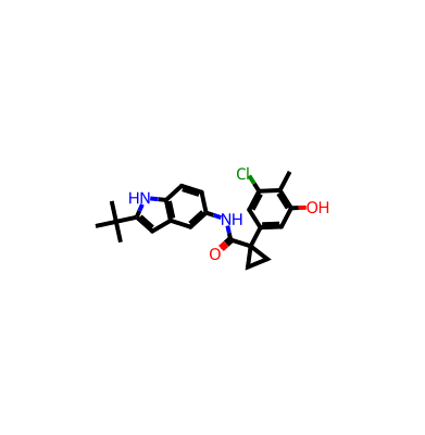 Cc1c(O)cc(C2(C(=O)Nc3ccc4[nH]c(C(C)(C)C)cc4c3)CC2)cc1Cl